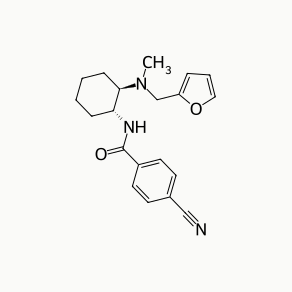 CN(Cc1ccco1)[C@@H]1CCCC[C@H]1NC(=O)c1ccc(C#N)cc1